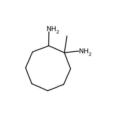 CC1(N)CCCCCCC1N